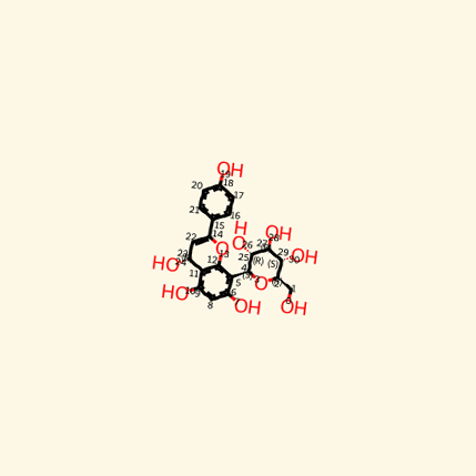 OC[C@H]1O[C@@H](c2c(O)cc(O)c3c2OC(c2ccc(O)cc2)=C[C@H]3O)[C@H](O)[C@@H](O)[C@@H]1O